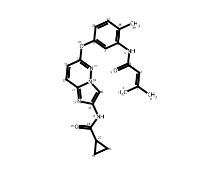 CC(C)=CC(=O)Nc1cc(Oc2ccc3nc(NC(=O)C4CC4)cn3n2)ccc1C